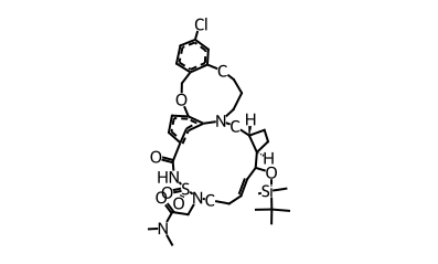 CN(C)C(=O)CN1CC/C=C/C(O[Si](C)(C)C(C)(C)C)[C@@H]2CC[C@H]2CN2CCCCc3cc(Cl)ccc3COc3ccc(cc32)C(=O)NS1(=O)=O